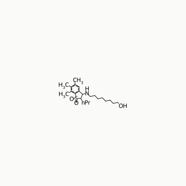 CCCC1C(NCCCCCCCCO)c2cc(C)c(C)c(C)c2S1(=O)=O